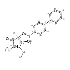 CCC[C@H](O)[C@](C)(OCc1ccc(-c2ccccc2)cc1)C(=O)NO